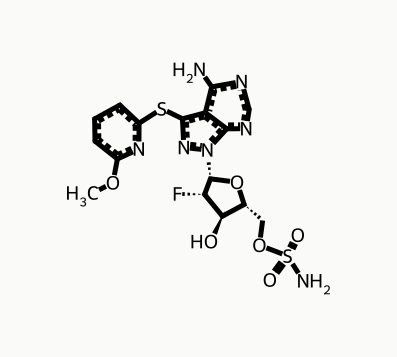 COc1cccc(Sc2nn([C@@H]3O[C@H](COS(N)(=O)=O)[C@@H](O)[C@@H]3F)c3ncnc(N)c23)n1